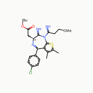 COCCC(=N)N1C(=N)[C@H](CC(=O)OC(C)(C)C)N=C(c2ccc(Cl)cc2)c2c1sc(C)c2C